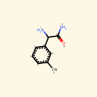 N#Cc1cccc(C(N)C(N)=O)c1